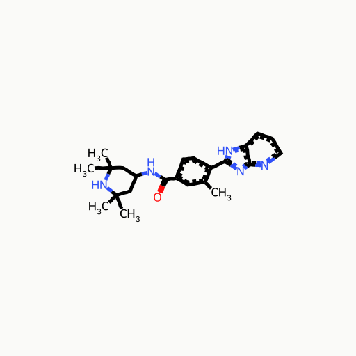 Cc1cc(C(=O)NC2CC(C)(C)NC(C)(C)C2)ccc1-c1nc2ncccc2[nH]1